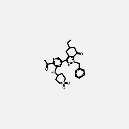 CCC1CC(=O)c2c(c(-c3cnc(C(C)=O)c(NC4CCS(=O)(=O)CC4)c3)nn2Cc2ccccc2)C1